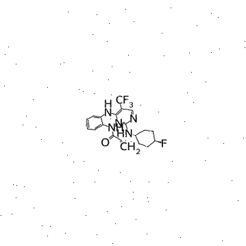 C=CC(=O)Nc1ccccc1Nc1nc(N[C@H]2CC[C@H](F)CC2)ncc1C(F)(F)F